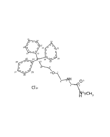 CNC(=O)CNCCOCC[P+](c1ccccc1)(c1ccccc1)c1ccccc1.[Cl-]